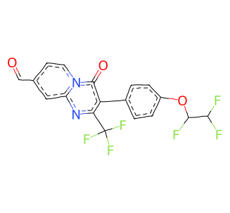 O=Cc1ccn2c(=O)c(-c3ccc(OC(F)C(F)F)cc3)c(C(F)(F)F)nc2c1